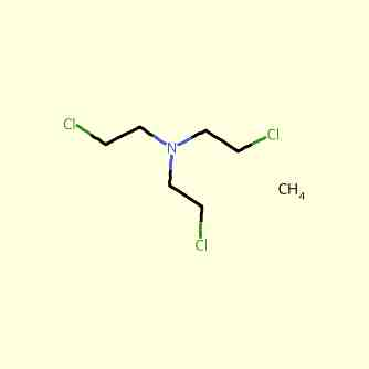 C.ClCCN(CCCl)CCCl